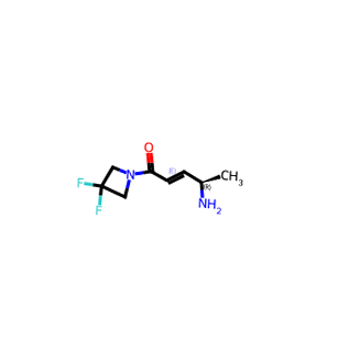 C[C@@H](N)/C=C/C(=O)N1CC(F)(F)C1